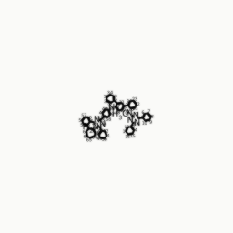 CN(c1nc(-c2ccccc2)nc(-c2ccccc2)n1)c1ccccc1-c1ccc2c(c1)c1ccccc1n2-c1ccc(C(/N=C(\N)c2ccccc2)=N/Cc2ccccc2C2C=CC=CC=C2)cc1